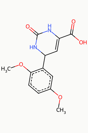 COc1ccc(OC)c(C2C=C(C(=O)O)NC(=O)N2)c1